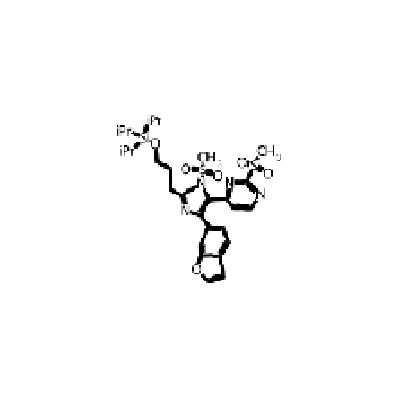 CC(C)[Si](OCCCc1nc(-c2ccc3ccoc3c2)c(-c2ccnc(S(C)(=O)=O)n2)n1S(C)(=O)=O)(C(C)C)C(C)C